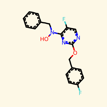 ON(Cc1ccccc1)c1nc(OCc2ccc(F)cc2)ncc1F